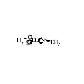 CCCCN1C=CC(COC2=CSC(C)C2=O)=CC1